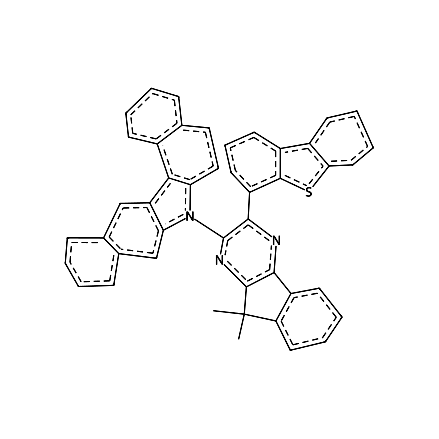 CC1(C)c2ccccc2-c2nc(-c3cccc4c3sc3ccccc34)c(-n3c4cc5ccccc5cc4c4c5ccccc5ccc43)nc21